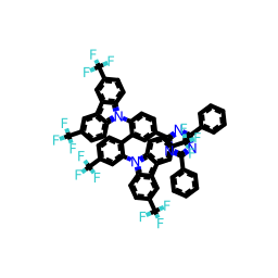 FC(F)(F)c1ccc(-c2cc(-c3nc(-c4ccccc4)nc(-c4ccccc4)n3)ccc2-n2c3ccc(C(F)(F)F)cc3c3cc(C(F)(F)F)ccc32)c(-n2c3ccc(C(F)(F)F)cc3c3cc(C(F)(F)F)ccc32)c1